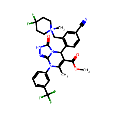 COC(=O)C1=C(C)N(c2cccc(C(F)(F)F)c2)c2n[nH]c(=O)n2C1c1ccc(C#N)cc1C[N+]1(C)CCC(F)(F)CC1